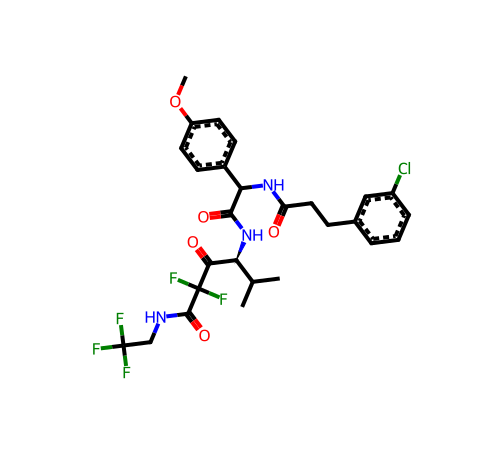 COc1ccc(C(NC(=O)CCc2cccc(Cl)c2)C(=O)N[C@H](C(=O)C(F)(F)C(=O)NCC(F)(F)F)C(C)C)cc1